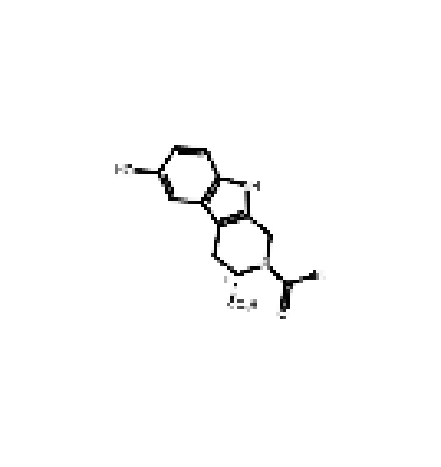 CCC(=O)N1Cc2[nH]c3ccc(O)cc3c2C[C@H]1C(=O)O